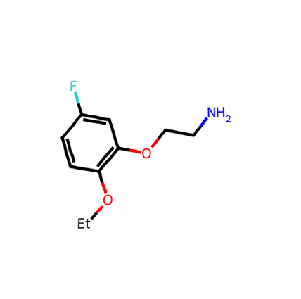 CCOc1ccc(F)cc1OCCN